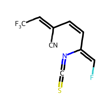 N#CC(/C=C\C(=C\F)N=C=S)=C\C(F)(F)F